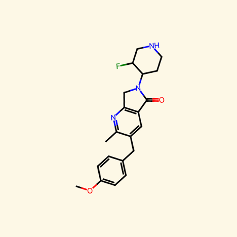 COc1ccc(Cc2cc3c(nc2C)CN(C2CCNCC2F)C3=O)cc1